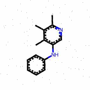 Cc1ncc(Nc2ccccc2)c(C)c1C